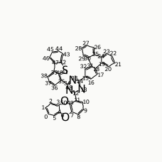 c1ccc2c(c1)Oc1cccc(-c3nc(-c4ccc5c6ccccc6c6ccccc6c5c4)nc(-c4cccc5c4sc4ccccc45)n3)c1O2